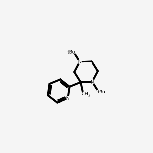 CC(C)(C)N1CCN(C(C)(C)C)C(C)(c2ccccn2)C1